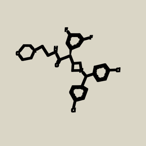 O=C(NCCN1CCOCC1)[C@H](c1cc(F)cc(F)c1)C1CN(C(c2ccc(Cl)cc2)c2ccc(Cl)cc2)C1